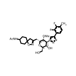 CO[C@@H]1[C@@H](n2cc(-c3ccc(C)c(F)c3F)nn2)[C@@H](O)[C@@H](CO)O[C@@H]1CC1=NOC2(CCC(NC(C)=O)CC2)C1